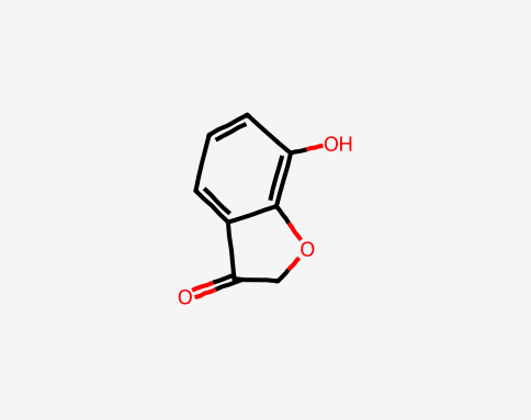 O=C1COc2c(O)cccc21